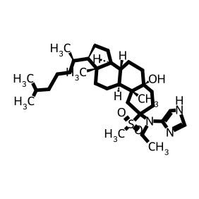 CCN(c1c[nH]cn1)C1(S(C)(=O)=O)CC[C@]2(O)CC[C@H]3[C@@H]4CC[C@H]([C@H](C)CCCC(C)C)[C@@]4(C)CC[C@@H]3[C@@]2(C)C1